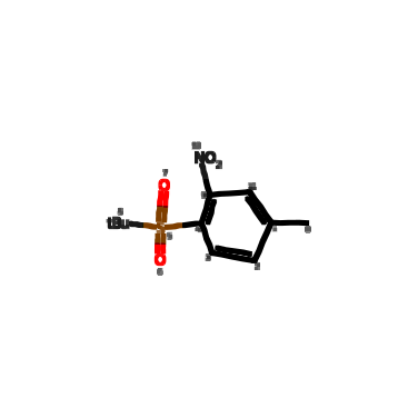 Cc1ccc(S(=O)(=O)C(C)(C)C)c([N+](=O)[O-])c1